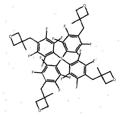 CC1(Cc2c(F)c(F)c(S(c3c(F)c(F)c(CC4(C)COC4)c(F)c3F)(c3c(F)c(F)c(CC4(C)COC4)c(F)c3F)c3c(F)c(F)c(CC4(C)COC4)c(F)c3F)c(F)c2F)COC1